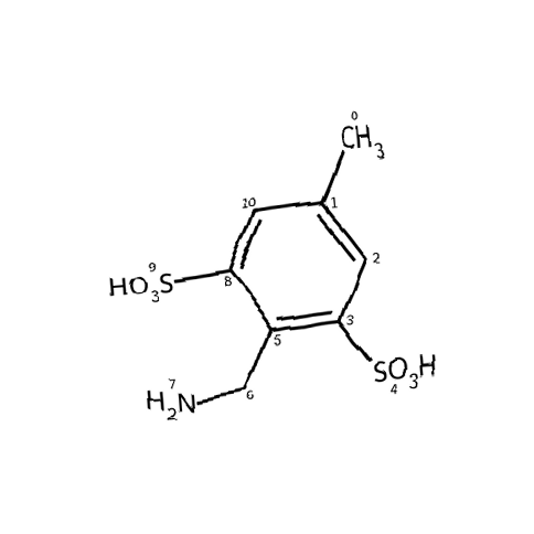 Cc1cc(S(=O)(=O)O)c(CN)c(S(=O)(=O)O)c1